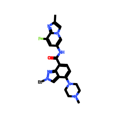 CCn1cc2c(N3CCN(C)CC3)ccc(C(=O)Nc3cc(F)c4nc(C)cn4c3)c2n1